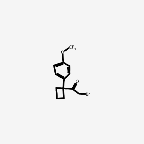 O=C(CBr)C1(c2ccc(OC(F)(F)F)cc2)CCC1